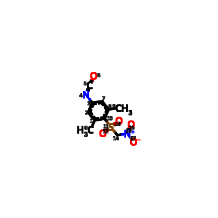 Cc1cc(N=C=O)cc(C)c1S(=O)(=O)C[N+](=O)[O-]